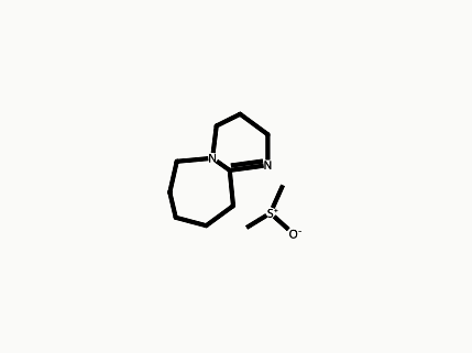 C1CCC2=NCCCN2CC1.C[S+](C)[O-]